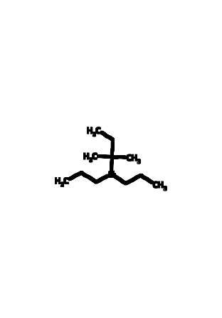 CCC[Si](CCC)C(C)(C)CC